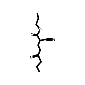 CCCOC(=O)C(C#N)CCC(=O)CCC